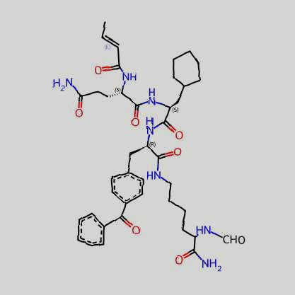 C/C=C/C(=O)N[C@@H](CCC(N)=O)C(=O)N[C@@H](CC1CCCCC1)C(=O)N[C@H](Cc1ccc(C(=O)c2ccccc2)cc1)C(=O)NCCCCC(NC=O)C(N)=O